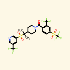 CC(C)(C1CCN(C(=O)c2ccc(S(=O)(=O)C(F)(F)F)cc2C(F)(F)F)CC1)S(=O)(=O)c1cncc(C(F)(F)F)c1